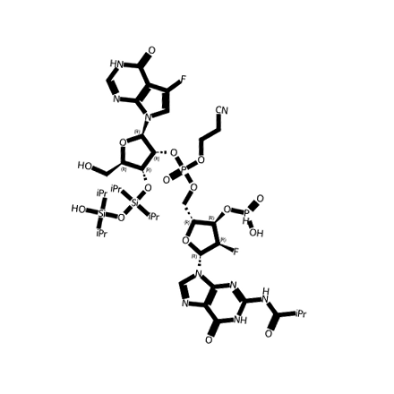 CC(C)C(=O)Nc1nc2c(ncn2[C@@H]2O[C@H](COP(=O)(OCCC#N)O[C@@H]3[C@H](O[Si](O[Si](O)(C(C)C)C(C)C)(C(C)C)C(C)C)[C@@H](CO)O[C@H]3n3cc(F)c4c(=O)[nH]cnc43)[C@@H](O[PH](=O)O)[C@H]2F)c(=O)[nH]1